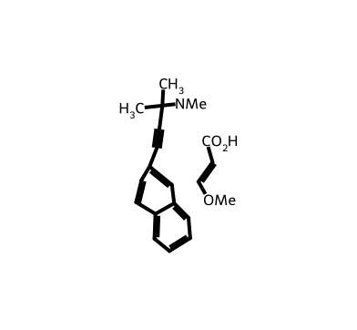 CNC(C)(C)C#Cc1ccc2ccccc2c1.COC=CC(=O)O